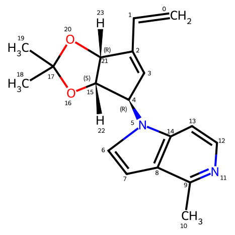 C=CC1=C[C@@H](n2ccc3c(C)nccc32)[C@@H]2OC(C)(C)O[C@H]12